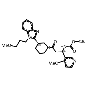 COCCCn1c([C@@H]2CCCN(C(=O)C[C@H](NC(=O)OC(C)(C)C)c3cnccc3OC)C2)nc2ccccc21